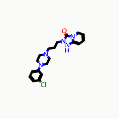 O=c1n(CCCN2CCN(c3cccc(Cl)c3)CC2)[nH]c2cccc[n+]12